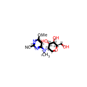 COc1cc(N(C)[C@H]2CO[C@H](CO)[C@H](O)[C@@H]2O)nc(C#N)n1